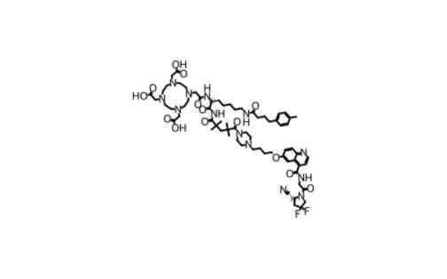 Cc1ccc(CCCC(=O)NCCCCC[C@H](NC(=O)CN2CCN(CC(=O)O)CCN(CC(=O)O)CCN(CC(=O)O)CC2)C(=O)NC(=O)C(C)(C)CC(C)(C)C(=O)N2CCN(CCCCOc3ccc4nccc(C(=O)NCC(=O)N5CC(F)(F)C[C@@H]5C#N)c4c3)CC2)cc1